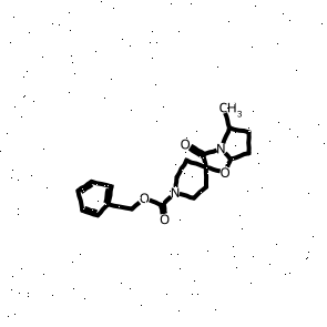 CC1CCC2OC3(CCN(C(=O)OCc4ccccc4)CC3)C(=O)N12